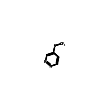 FC(F)(F)Sc1c[c]nnc1